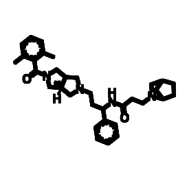 Cc1cccc(C)c1C(=O)N1CC2CN(CCC(NC(=O)CCN3CC4CCC3C4)c3ccccc3)C[C@H]2C1